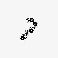 COc1ccccc1C(=O)NCCNc1cccc(N[S+]([O-])c2cccc(-c3cccc(C(=O)N(C)C)c3)c2)c1